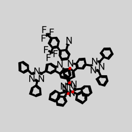 N#Cc1cc(-n2c3ccc(-c4nc(-c5ccccc5)nc(-c5ccccc5)n4)cc3c3cc(-c4nc(-c5ccccc5)nc(-c5ccccc5)n4)ccc32)c(-n2c3ccc(-c4nc(-c5ccccc5)nc(-c5ccccc5)n4)cc3c3cc(-c4nc(-c5ccccc5)nc(-c5ccccc5)n4)ccc32)cc1-c1ccc(C(F)(F)F)cc1C(F)(F)F